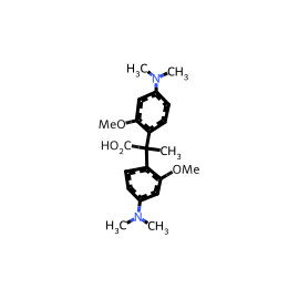 COc1cc(N(C)C)ccc1C(C)(C(=O)O)c1ccc(N(C)C)cc1OC